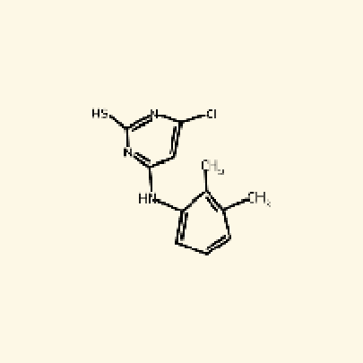 Cc1cccc(Nc2cc(Cl)nc(S)n2)c1C